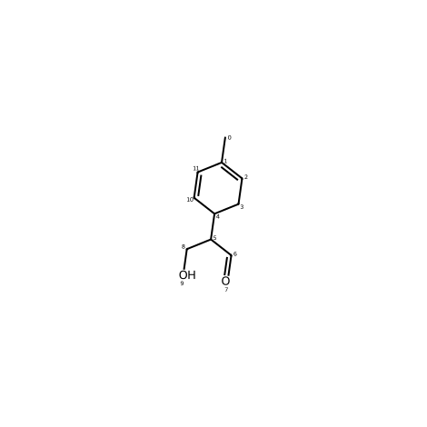 CC1=CCC(C(C=O)CO)C=C1